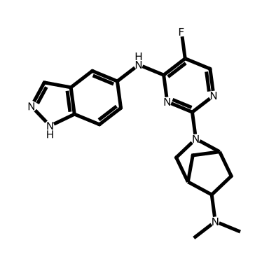 CN(C)C1CC2CC1CN2c1ncc(F)c(Nc2ccc3[nH]ncc3c2)n1